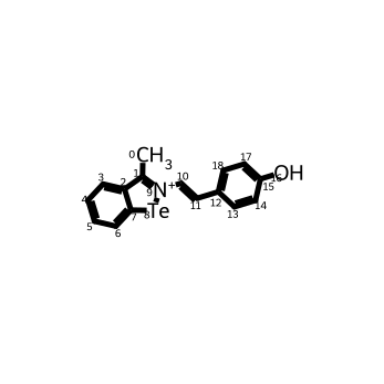 Cc1c2ccccc2[te][n+]1C=Cc1ccc(O)cc1